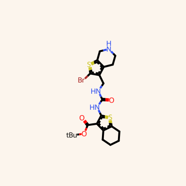 CC(C)(C)OC(=O)c1c(NC(=O)NCc2c(Br)sc3c2CCNC3)sc2c1CCCC2